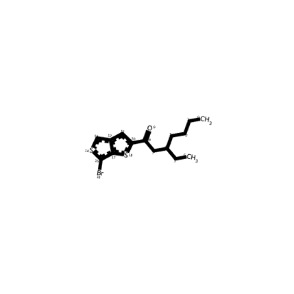 CCCCC(CC)CC(=O)c1cc2csc(Br)c2s1